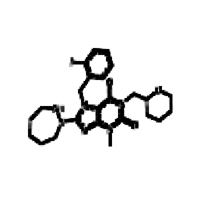 Cn1c(=O)n(CC2CCCCO2)c(=O)c2c1nc(N1CCCCCN1)n2Cc1ccccc1I